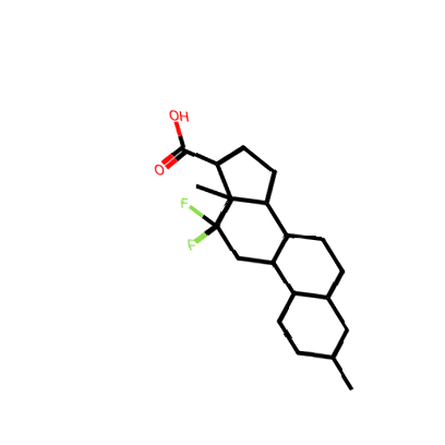 CC1CCC2C(CCC3C2CC(F)(F)C2(C)C(C(=O)O)CCC32)C1